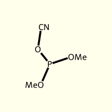 COP(OC)OC#N